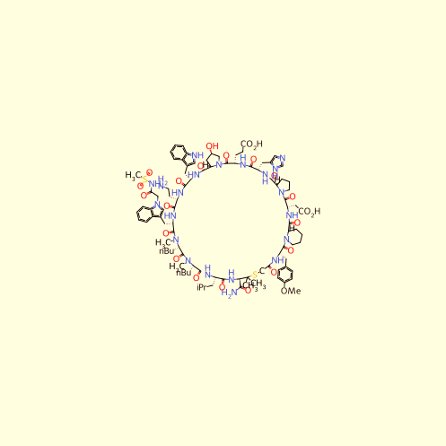 CCCC[C@H]1C(=O)N(C)[C@@H](CCCC)C(=O)N[C@@H](CC(C)C)C(=O)N[C@H](C(N)=O)C(C)(C)SCC(=O)N[C@@H](Cc2ccc(OC)cc2)C(=O)N2CCCC[C@H]2C(=O)N[C@@H](CC(=O)O)C(=O)N2CCC[C@H]2C(=O)N[C@@H](Cc2cnc[nH]2)C(=O)N[C@@H](CCC(=O)O)C(=O)N2C[C@H](O)C[C@H]2C(=O)N[C@@H](Cc2c[nH]c3ccccc23)C(=O)N[C@@H](CCN)C(=O)N[C@@H](Cc2cn(CC(=O)NS(C)(=O)=O)c3ccccc23)C(=O)N1C